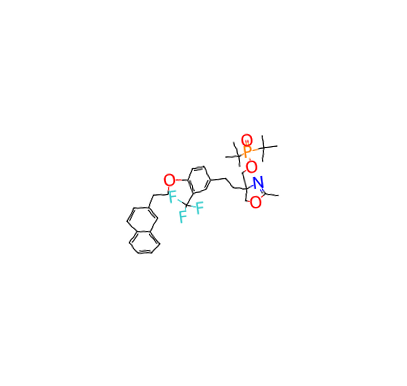 CC1=NC(CCc2ccc(OCCc3ccc4ccccc4c3)c(C(F)(F)F)c2)(COP(=O)(C(C)(C)C)C(C)(C)C)CO1